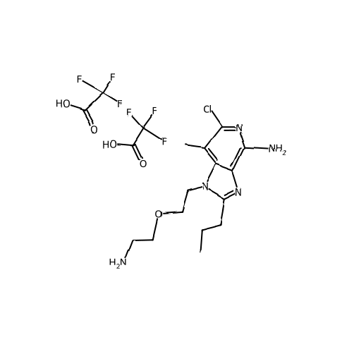 CCCc1nc2c(N)nc(Cl)c(C)c2n1CCOCCN.O=C(O)C(F)(F)F.O=C(O)C(F)(F)F